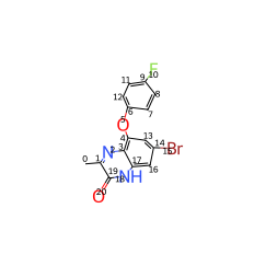 Cc1nc2c(Oc3ccc(F)cc3)cc(Br)cc2[nH]c1=O